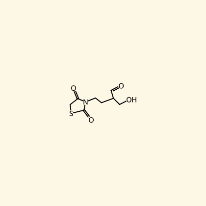 O=CC(CO)CCN1C(=O)CSC1=O